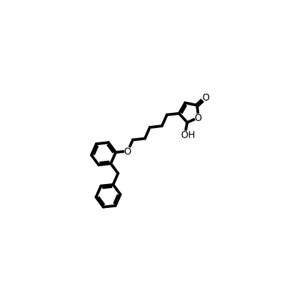 O=C1C=C(CCCCCOc2ccccc2Cc2ccccc2)C(O)O1